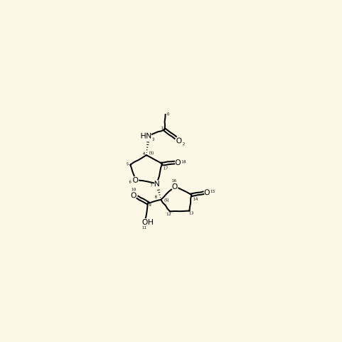 CC(=O)N[C@H]1CON([C@@]2(C(=O)O)CCC(=O)O2)C1=O